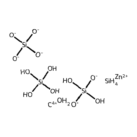 O.O[Si](O)(O)O.[C+4].[O-][Si]([O-])(O)O.[O-][Si]([O-])([O-])[O-].[SiH4].[Zn+2]